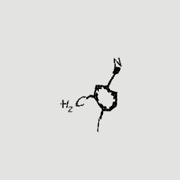 [CH2]c1cc(C#N)ccc1I